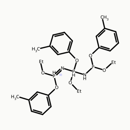 CCOP(N[PH](/N=[PH](/OCC)Oc1cccc(C)c1)(OCC)Oc1cccc(C)c1)Oc1cccc(C)c1